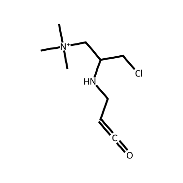 C[N+](C)(C)CC(CCl)NCC=C=O